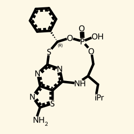 CC(C)CC1COP(=O)(O)O[C@@H](c2ccccc2)Sc2nc(c3sc(N)nc3n2)N1